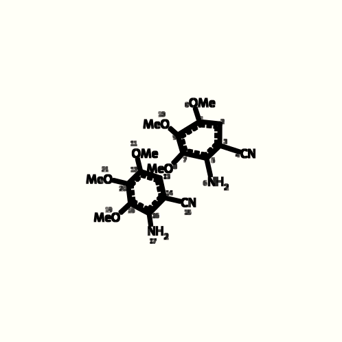 COc1cc(C#N)c(N)c(OC)c1OC.COc1cc(C#N)c(N)c(OC)c1OC